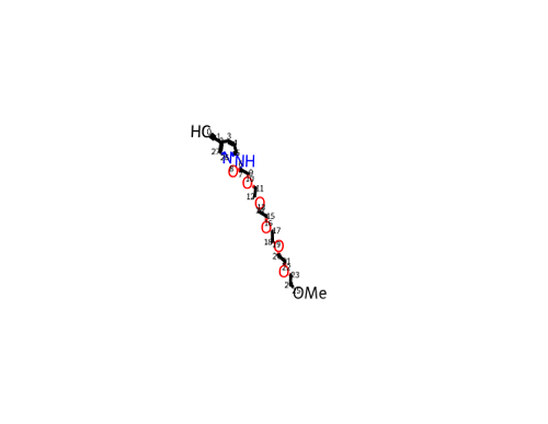 C#Cc1ccc(NC(=O)COCCOCCOCCOCCOCCOC)nc1